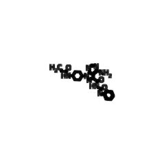 C=CC(=O)NC1CCC(n2nc(C(=O)Nc3nc4ccccc4o3)c3c(N)ncnc32)CC1